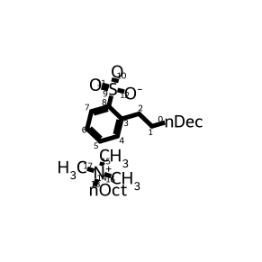 CCCCCCCCCCCCc1ccccc1S(=O)(=O)[O-].CCCCCCCC[N+](C)(C)C